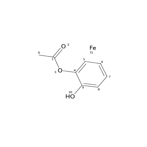 CC(=O)Oc1ccccc1O.[Fe]